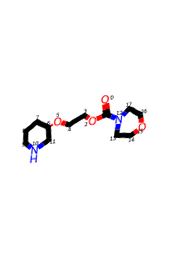 O=C(OCCO[C@H]1CCCNC1)N1CCOCC1